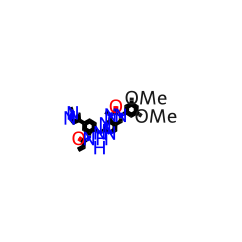 C=CC(=O)Nc1cc(-c2cnn(C)c2)ccc1Nc1ncc2c(n1)N(C)C(=O)N(c1cc(OC)cc(OC)c1)C2